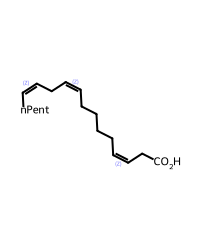 CCCCC/C=C\C/C=C\CCCC/C=C\CC(=O)O